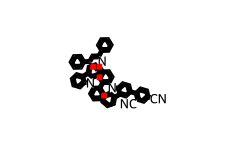 N#Cc1ccc(-c2ccc3c(c2)c2ccccc2n3-c2ccc(-c3nc(-c4ccccc4)cc(-c4ccccc4)n3)cc2-c2ccccc2-n2c3ccccc3c3ccccc32)c(C#N)c1